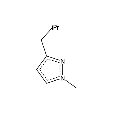 CC(C)Cc1ccn(C)n1